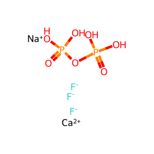 O=P(O)(O)OP(=O)(O)O.[Ca+2].[F-].[F-].[F-].[Na+]